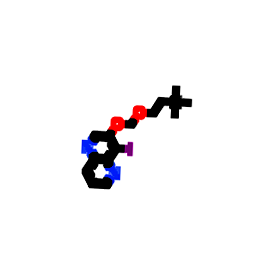 C[Si](C)(C)CCOCOc1cnc2cccnc2c1I